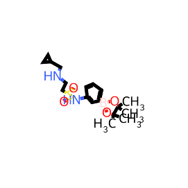 CC1(C)OB(c2cccc(NS(=O)(=O)CCNCC3CC3)c2)OC1(C)C